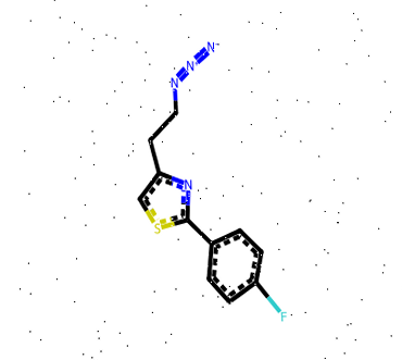 [N-]=[N+]=NCCc1csc(-c2ccc(F)cc2)n1